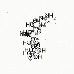 CC(O)(P(=O)(O)O)P(=O)(O)OP(=O)(O)OC[C@H]1O[C@@H](n2ccc(N)nc2=O)[C@@H](O)[C@@H]1O.[Na+].[Na+].[Na+]